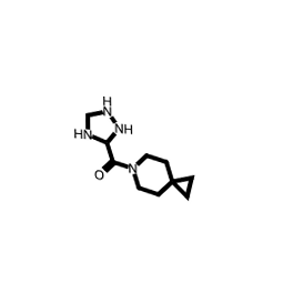 O=C(C1NCNN1)N1CCC2(CC1)CC2